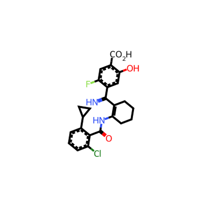 N=C(C1=C(NC(=O)c2c(Cl)cccc2C2CC2)CCCC1)c1cc(O)c(C(=O)O)cc1F